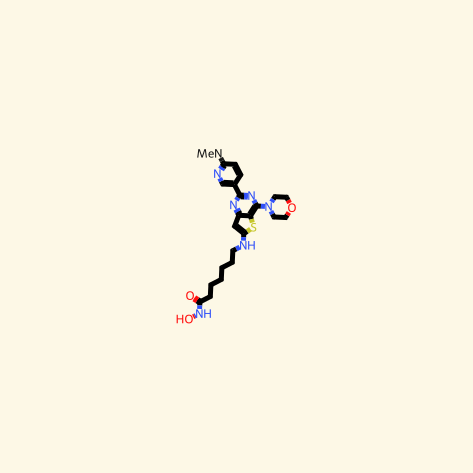 CNc1ccc(-c2nc(N3CCOCC3)c3sc(NCCCCCCC(=O)NO)cc3n2)cn1